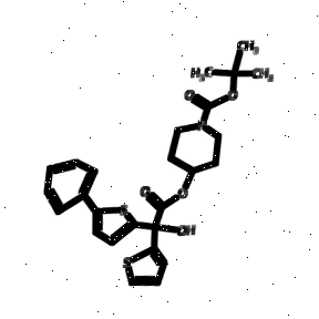 CC(C)(C)OC(=O)N1CCC(OC(=O)C(O)(c2cccs2)c2ccc(-c3ccccc3)s2)CC1